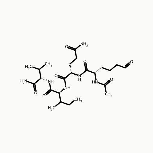 CCC(C)[C@H](NC(=O)[C@H](CCC(N)=O)NC(=O)[C@H](CCCC=O)NC(C)=O)C(=O)N[C@H](C(N)=O)C(C)C